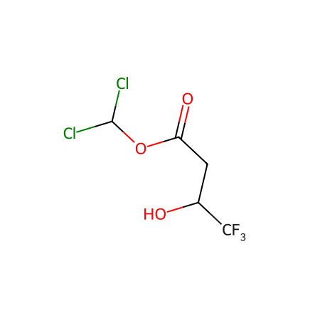 O=C(CC(O)C(F)(F)F)OC(Cl)Cl